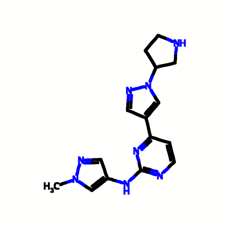 Cn1cc(Nc2nccc(-c3cnn(C4CCNC4)c3)n2)cn1